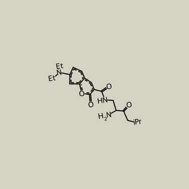 CCN(CC)c1ccc2cc(C(=O)NCC(N)C(=O)CC(C)C)c(=O)oc2c1